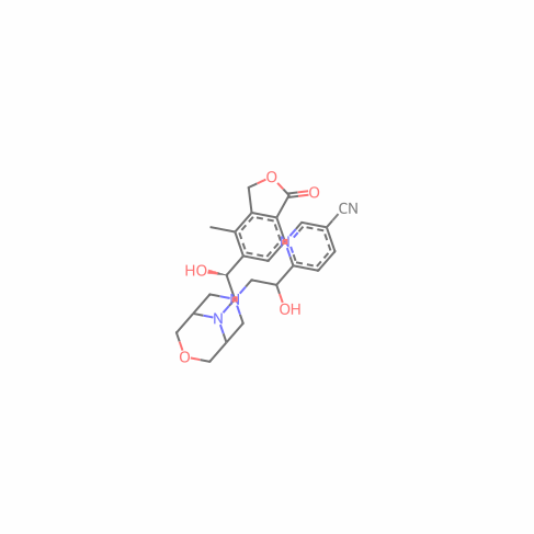 Cc1c([C@H](O)CN2C3COCC2CN(CC(O)c2ccc(C#N)cn2)C3)ccc2c1COC2=O